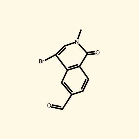 Cn1cc(Br)c2cc(C=O)ccc2c1=O